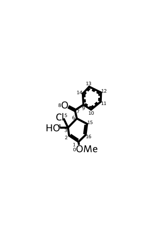 COC1=CC(O)(Cl)C(C(=O)c2ccccc2)C=C1